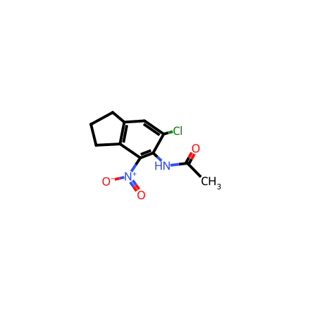 CC(=O)Nc1c(Cl)cc2c(c1[N+](=O)[O-])CCC2